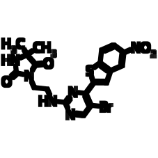 CC1(C)NC(=O)N(CCNc2ncc(Br)c(-c3cc4cc([N+](=O)[O-])ccc4s3)n2)C1=O